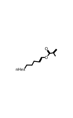 C=C(C)C(=O)OC=CCCCCCCCCC